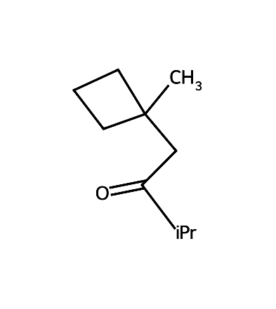 CC(C)C(=O)CC1(C)CCC1